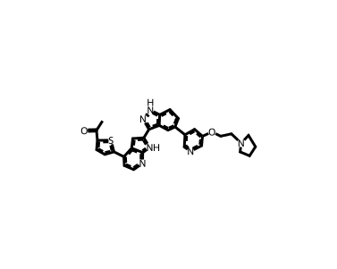 CC(=O)c1ccc(-c2ccnc3[nH]c(-c4n[nH]c5ccc(-c6cncc(OCCN7CCCC7)c6)cc45)cc23)s1